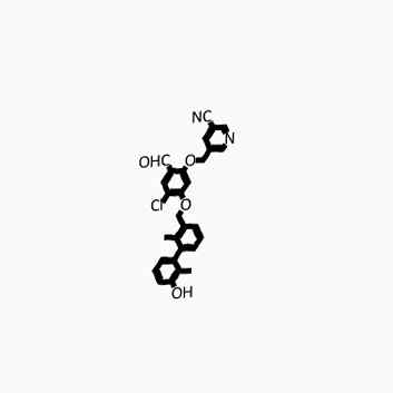 Cc1c(O)cccc1-c1cccc(COc2cc(OCc3cncc(C#N)c3)c(C=O)cc2Cl)c1C